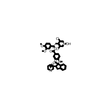 COc1ccc([C@H](Cc2c(Cl)c[n+](O)cc2Cl)OC(=O)c2ccc(N(C)C3(C(=O)[O-])c4ccccc4CC3[C@@H]3CN4CCC3CC4)cc2)cc1OC